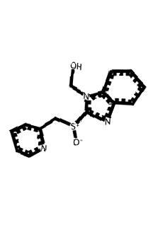 [O-][S+](Cc1ccccn1)c1nc2ccccc2n1CO